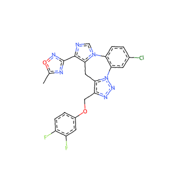 Cc1nc(-c2ncn3c2Cc2c(COc4ccc(F)c(F)c4)nnn2-c2cc(Cl)ccc2-3)no1